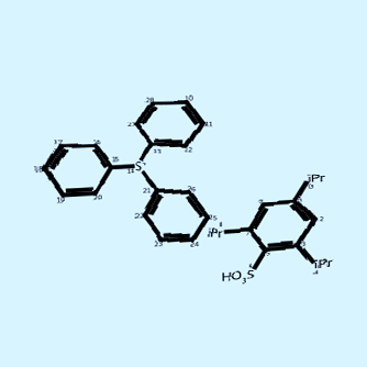 CC(C)c1cc(C(C)C)c(S(=O)(=O)O)c(C(C)C)c1.c1ccc([S+](c2ccccc2)c2ccccc2)cc1